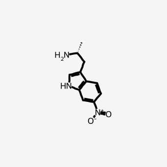 C[C@@H](N)Cc1c[nH]c2cc([N+](=O)[O-])ccc12